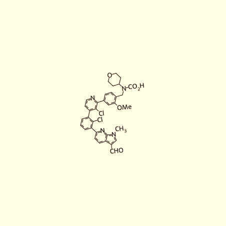 COc1cc(-c2nccc(-c3cccc(-c4ccc5c(C=O)cn(C)c5n4)c3Cl)c2Cl)ccc1CN(C(=O)O)C1CCOCC1